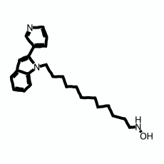 ONCCCCCCCCCCCCn1c(-c2cccnc2)cc2ccccc21